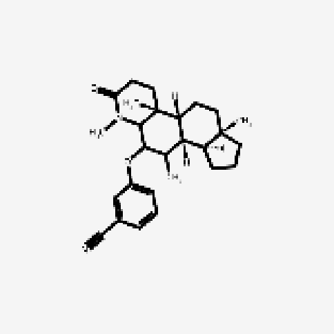 CC1C(Oc2cccc(C#N)c2)C2N(C)C(=O)CC[C@]2(C)[C@@H]2CC[C@]3(C)CCC[C@H]3[C@H]12